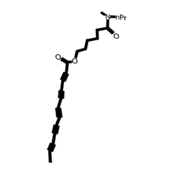 CC#CC#CC#CC#CC#CC(=O)OCCCCCC(=O)N(C)CCC